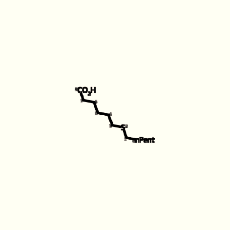 CCCCCCSCCCCCC(=O)O